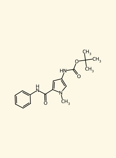 Cn1cc(NC(=O)OC(C)(C)C)cc1C(=O)Nc1ccccc1